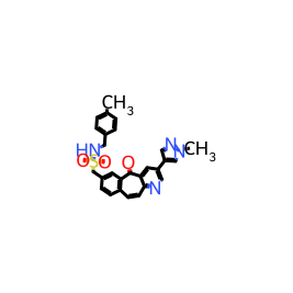 Cc1ccc(CNS(=O)(=O)Cc2ccc3ccc4ncc(-c5cnn(C)c5)cc4c(=O)c3c2)cc1